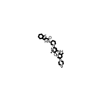 CC1CC(N2CCN(C)CC2)=CN=C1Nc1cc(N2CCC[C@@H](NC(=O)c3cc4c(s3)CCCC4)C2)nn(C)c1=O